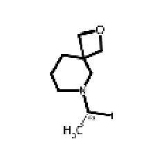 C[C@@H](I)N1CCCC2(COC2)C1